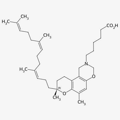 CC(C)=CCCC(C)=CCCC(C)=CCC[C@]1(C)CCc2c3c(cc(C)c2O1)OCN(CCCCCC(=O)O)C3